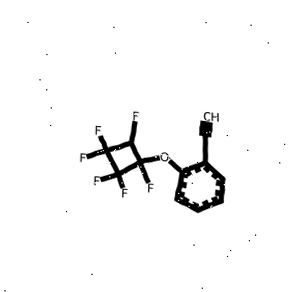 C#Cc1ccccc1OC1(F)C(F)C(F)(F)C1(F)F